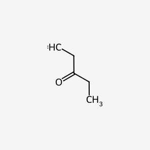 [CH]CC(=O)CC